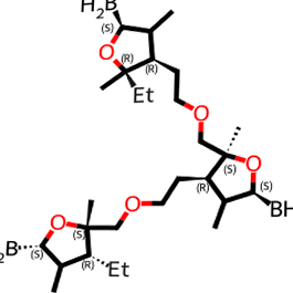 B[C@@H]1O[C@](C)(CC)[C@H](CCOC[C@@]2(C)O[C@@H](B)C(C)[C@H]2CCOC[C@@]2(C)O[C@@H](B)C(C)[C@H]2CC)C1C